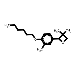 CCCCCCOc1ccc(C2OCC2(C)C)cc1C